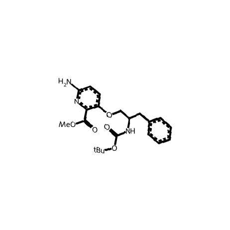 COC(=O)c1nc(N)ccc1OCC(Cc1ccccc1)NC(=O)OC(C)(C)C